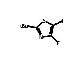 CC(C)(C)c1nc(F)c(I)s1